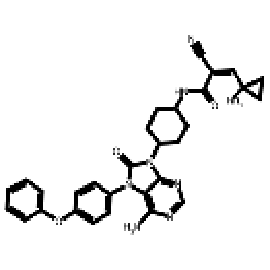 N#C/C(=C/C1(N)CC1)C(=O)NC1CCC(n2c(=O)n(-c3ccc(Oc4ccccc4)cc3)c3c(N)ncnc32)CC1